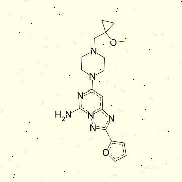 COC1(CN2CCN(c3cc4nc(-c5ccco5)nn4c(N)n3)CC2)CC1